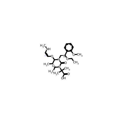 CCO[C@@H](CN(C(=O)N(C(C)=O)C(C)(C)C(=O)O)C(CC)O/C=C\NC)c1ccccc1OC